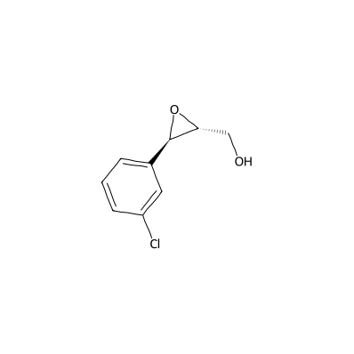 OC[C@H]1O[C@@H]1c1cccc(Cl)c1